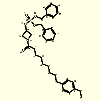 CCc1ccc(CCCCCCCCC(=O)N2CC(OP(=O)(OCc3ccccc3)OCc3ccccc3)C2)cc1